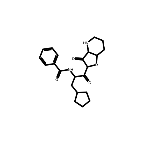 O=C(NC(CC1CCCC1)C(=O)C1OC2CCCNC2C1=O)c1ccccc1